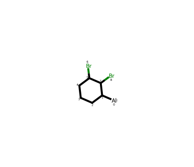 [Al][CH]1CCCC(Br)C1Br